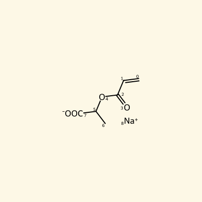 C=CC(=O)OC(C)C(=O)[O-].[Na+]